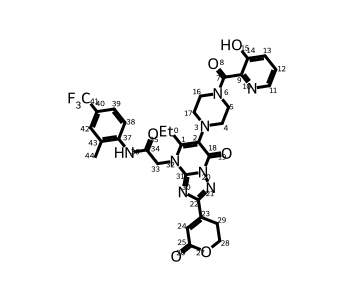 CCc1c(N2CCN(C(=O)c3ncccc3O)CC2)c(=O)n2nc(C3=CC(=O)OCC3)nc2n1CC(=O)Nc1ccc(C(F)(F)F)cc1C